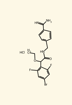 CCOC(C(=O)NCc1ccc(C(=N)N)cc1)c1c(F)cc(Br)cc1F.Cl